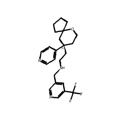 FC(F)(F)c1cncc(CNCC[C@]2(c3ccncc3)CCOC3(CCCC3)C2)c1